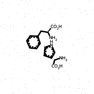 NCC(=O)O.N[C@@H](Cc1ccccc1)C(=O)O.c1cc[nH]c1